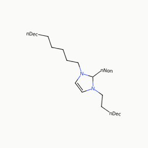 CCCCCCCCCCCCCCCN1C=CN(CCCCCCCCCCCC)C1CCCCCCCCC